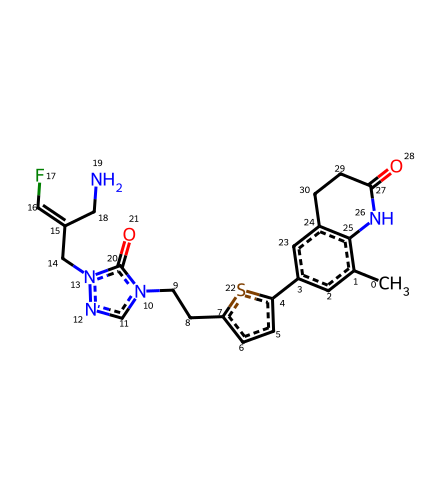 Cc1cc(-c2ccc(CCn3cnn(C/C(=C/F)CN)c3=O)s2)cc2c1NC(=O)CC2